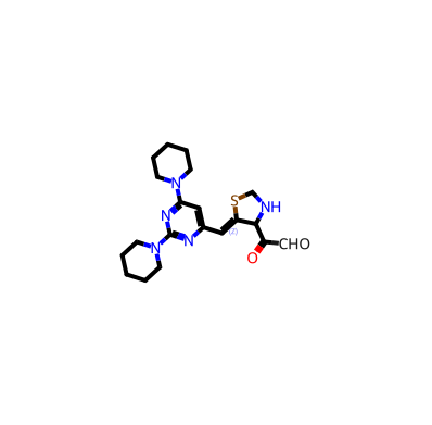 O=CC(=O)C1NCS/C1=C\c1cc(N2CCCCC2)nc(N2CCCCC2)n1